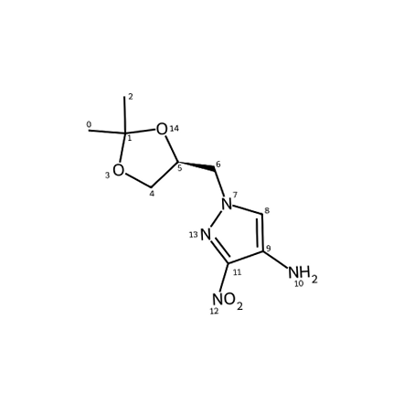 CC1(C)OC[C@H](Cn2cc(N)c([N+](=O)[O-])n2)O1